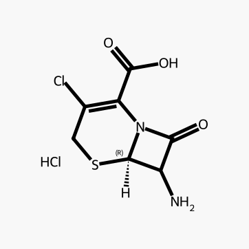 Cl.NC1C(=O)N2C(C(=O)O)=C(Cl)CS[C@H]12